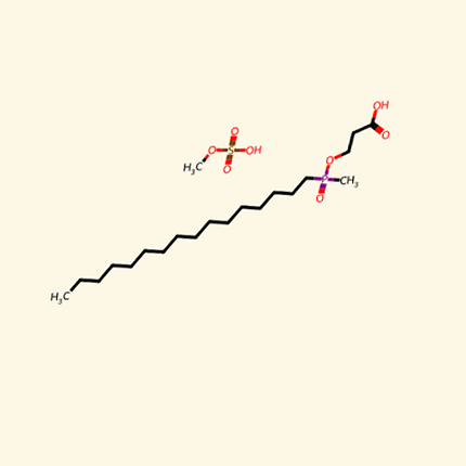 CCCCCCCCCCCCCCCCP(C)(=O)OCCC(=O)O.COS(=O)(=O)O